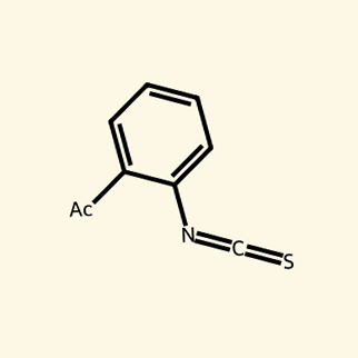 CC(=O)c1ccccc1N=C=S